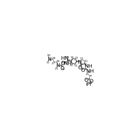 CC(C)OC(=O)CCNC(=O)N[C@H]1CCN(c2ccc(C(=N)NOC(=O)N(C)CCCN(C)C)cc2)C1=O